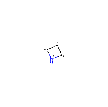 [C]1CCN1